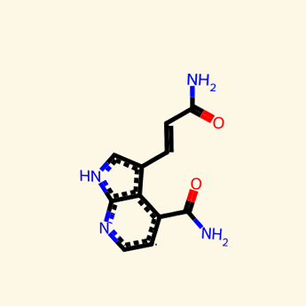 NC(=O)/C=C/c1c[nH]c2nc[c]c(C(N)=O)c12